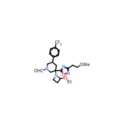 CCOC1CCN1C1(c2nc(CCOC)no2)CC(c2ccc(C(F)(F)F)cc2)CN(C=O)C1